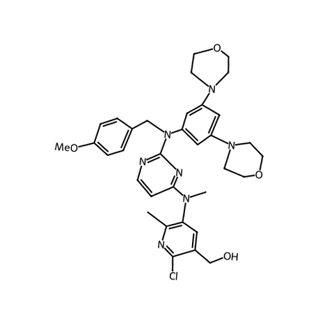 COc1ccc(CN(c2cc(N3CCOCC3)cc(N3CCOCC3)c2)c2nccc(N(C)c3cc(CO)c(Cl)nc3C)n2)cc1